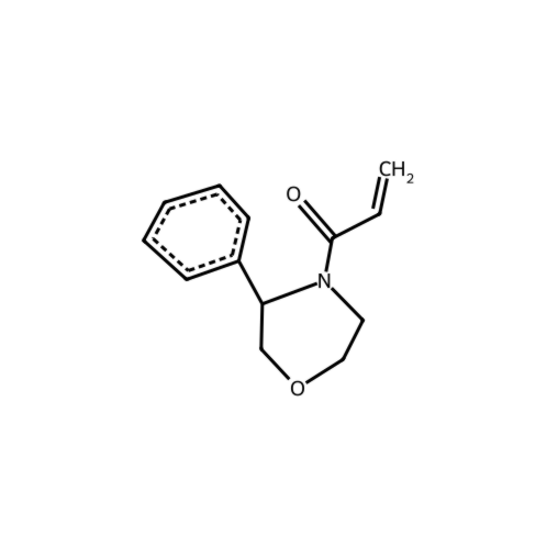 C=CC(=O)N1CCOCC1c1ccccc1